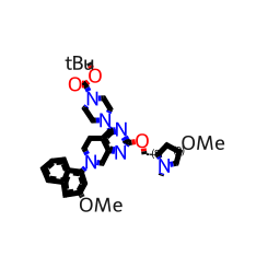 COc1cc(N2CCc3c(nc(OC[C@@H]4C[C@@H](OC)CN4C)nc3N3CCN(C(=O)OC(C)(C)C)CC3)C2)c2ccccc2c1